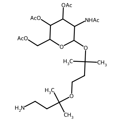 CC(=O)NC1C(OC(C)(C)CCOC(C)(C)CCN)OC(COC(C)=O)C(OC(C)=O)C1OC(C)=O